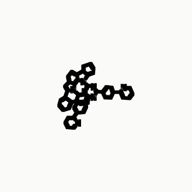 c1ccc(-c2ccc(-c3nc(-c4ccc(-c5ccccn5)cc4)nc(-n4c5ccccc5c5ccc6cc7c8ccccc8c8ccccc8n7c6c54)n3)cc2)nc1